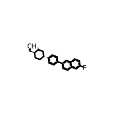 C=C[C@H]1CC[C@H](c2ccc(-c3ccc4cc(F)ccc4c3)cc2)CC1